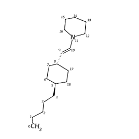 CCCCC[C@H]1CC[C@H](C=CN2CCCCC2)CC1